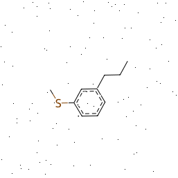 CCCc1cc[c]c(SC)c1